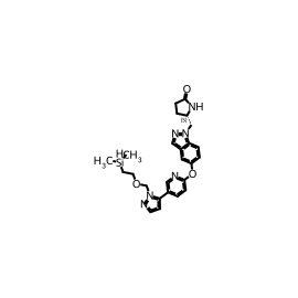 C[SiH](C)CCOCn1nccc1-c1ccc(Oc2ccc3c(cnn3C[C@@H]3CCC(=O)N3)c2)nc1